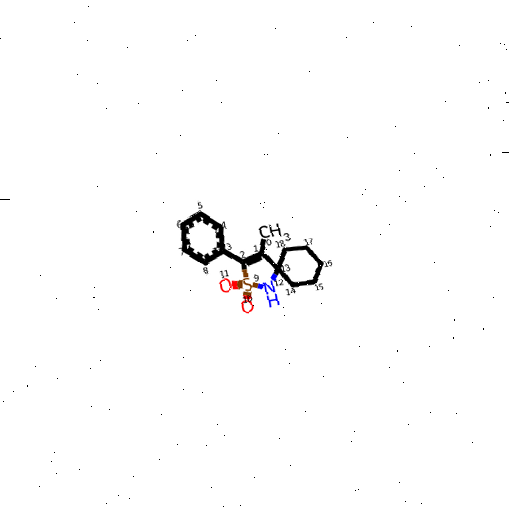 CC1=C(c2ccccc2)S(=O)(=O)NC12CCCCC2